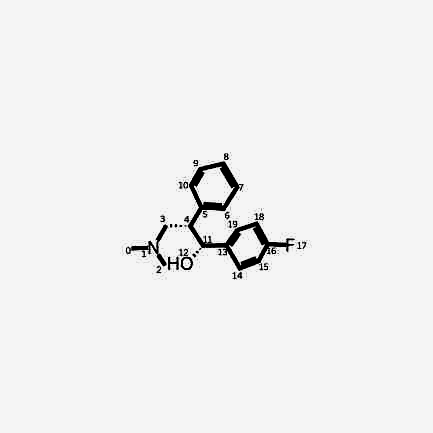 CN(C)C[C@H](c1ccccc1)[C@@H](O)c1ccc(F)cc1